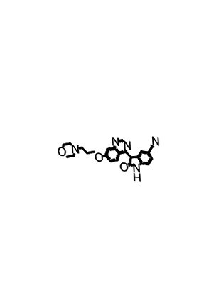 N#Cc1ccc2c(c1)C(c1ncnc3cc(OCCCN4CCOCC4)ccc13)C(=O)N2